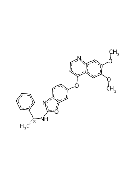 COc1cc2nccc(Oc3ccc4nc(N[C@H](C)c5ccccc5)oc4c3)c2cc1OC